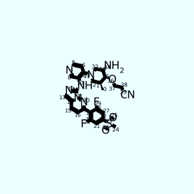 C[C@H]1CN(c2ccncc2Nc2ncc3ccc(-c4c(F)cc(S(C)(=O)=O)cc4F)nn23)C[C@@H](N)[C@H]1OCCC#N